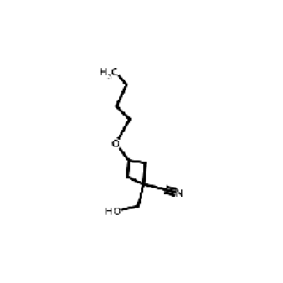 CCCCOC1CC(C#N)(CO)C1